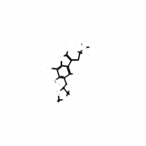 [2H]c1[nH]c2c([2H])c([2H])c(C[C@]3([2H])NC(=O)OC3([2H])[2H])c([2H])c2c1CC([2H])([2H])N(C)C